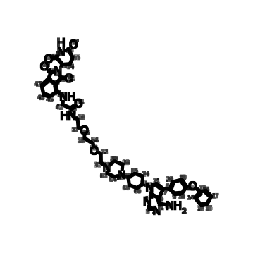 Nc1ncnc2c1c(-c1ccc(Oc3ccccc3)cc1)cn2[C@H]1CC[C@@H](N2CCN(CCOCCOCCNC(=O)CNc3cccc4c3C(=O)N(C3CCC(=O)NC3=O)C4=O)CC2)CC1